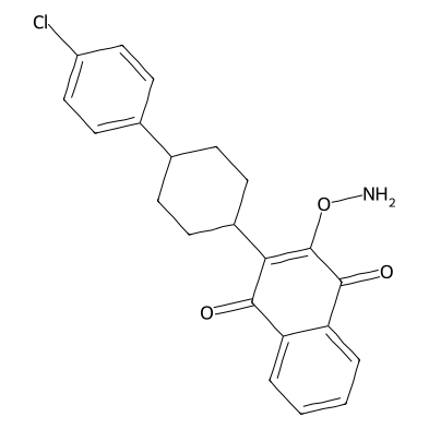 NOC1=C(C2CCC(c3ccc(Cl)cc3)CC2)C(=O)c2ccccc2C1=O